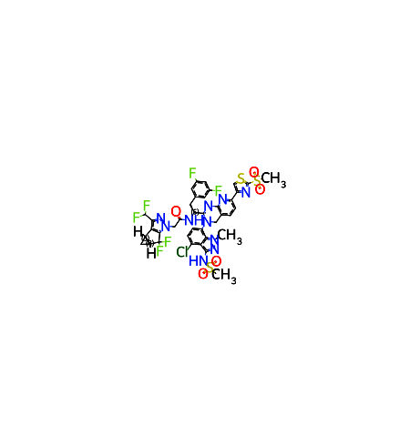 Cn1nc(NS(C)(=O)=O)c2c(Cl)ccc(N3Cc4ccc(-c5csc(S(C)(=O)=O)n5)nc4N=C3[C@H](Cc3cc(F)cc(F)c3)NC(=O)Cn3nc(C(F)F)c4c3C(F)(F)[C@@H]3C[C@H]43)c21